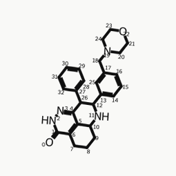 O=c1[nH]nc2c3c1CCCC3NC(c1cccc(CN3CCOCC3)c1)C2c1ccccc1